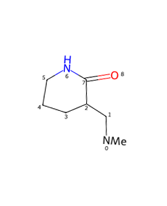 CNCC1CCCNC1=O